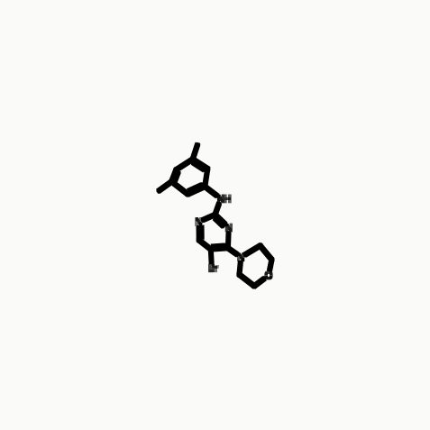 Cc1cc(C)cc(Nc2ncc(Br)c(N3CCOCC3)n2)c1